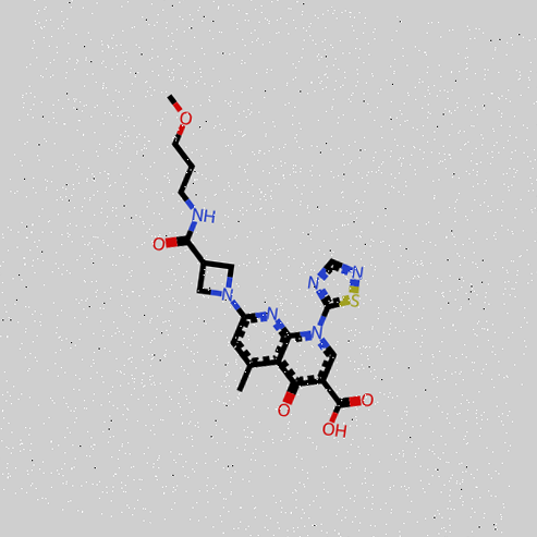 COCCCNC(=O)C1CN(c2cc(C)c3c(=O)c(C(=O)O)cn(-c4ncns4)c3n2)C1